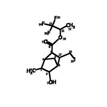 CC1C(O)C2CC1C(C(=O)OC(C)C(F)(F)F)C2CI